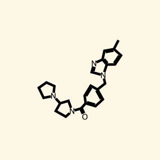 Cc1ccc2c(c1)ncn2Cc1ccc(C(=O)N2CCC(N3CCCC3)C2)cc1